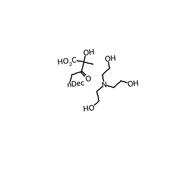 CCCCCCCCCCCC(=O)C(C)(O)C(=O)O.OCCN(CCO)CCO